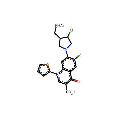 CC(=O)NCC1CN(c2cc3c(cc2F)c(=O)c(C(=O)O)cn3-c2cccs2)CC1Cl